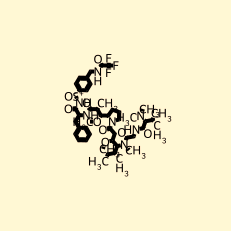 CCC(C)C(C(CC(=O)N1CCCC1C(OC)C(C)C(=O)NC(Cc1ccccc1)C(=O)N[S+]([O-])c1ccc(CNC(=O)C(F)(F)F)cc1)OC)N(C)C(=O)CNC(=O)C(C(C)C)N(C)C